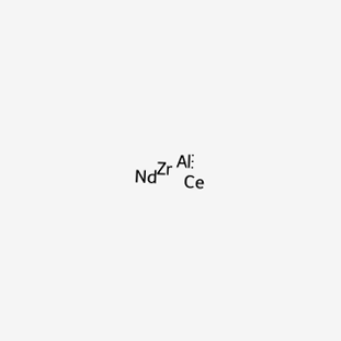 [Al].[Ce].[Nd].[Zr]